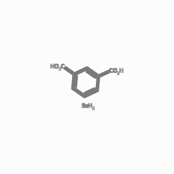 O=C(O)c1cccc(C(=O)O)c1.[BaH2]